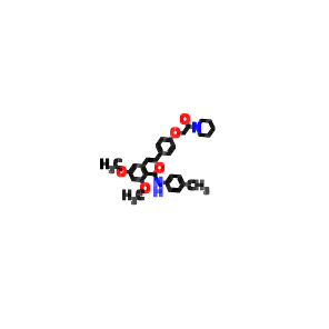 COc1cc(/C=C/c2ccc(OCC(=O)N3CCCCC3)cc2)c(C(=O)Nc2ccc(C)cc2)c(OC)c1